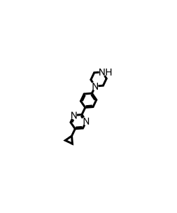 c1cc(N2CCNCC2)ccc1-c1ncc(C2CC2)cn1